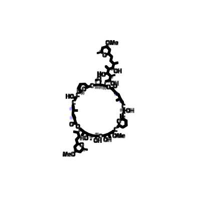 COC1CC2CC=C[C@@H](C[C@@H](O)C/C=C(C)/C=C/C(=O)O[C@@H](C[C@@H](O)[C@H](C)C(O)C(C)[C@@H](O)C(C)CCC3C[C@H](OC)C[C@H](C)O3)[C@H](C)[C@@H](CO)CC3CC=C[C@@H](CC(O)C/C=C(C)/C=C/C(=O)O[C@@H](C(C)CCC4C[C@H](OC)C[C@H](C)O4)C(C)C(O)[C@@H](C)[C@H](O)CC(O)C1C)O3)O2